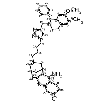 COc1cc2c(cc1C)CCN(Cc1cn(CCCCC3=CC4Cc5nc6cc(Cl)ccc6c(N)c5C(C3)C4)nn1)C2c1ccccc1